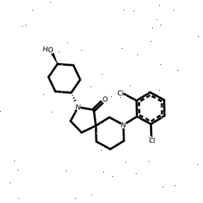 O=C1N([C@H]2CC[C@H](O)CC2)CCC12CCCN(c1c(Cl)cccc1Cl)C2